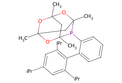 CC(C)c1cc(C(C)C)c(-c2ccccc2P2C3(C)CC4(C)OC(C)(CC2(C)O4)O3)c(C(C)C)c1